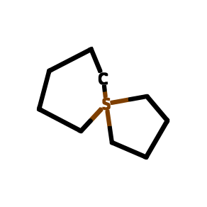 C1CCS2(CC1)CCCC2